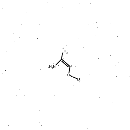 CCOC=C(C)N